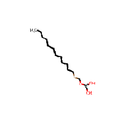 CCCCCCCCCCCCSCOB(O)O